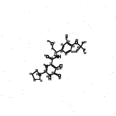 COCC(NC(=O)c1nc(N2CCCC2)[nH]c(=O)c1Cl)c1ccc(OC(F)(F)F)c(F)c1